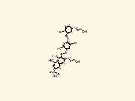 O=S(=O)(O)c1cc(O)c2c(O)c(N=Nc3cc(O)c(N=Nc4cc(SOOO)ccc4O)cc3O)c(SOOO)cc2c1